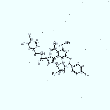 CC(C)Cc1nc(CCc2ccc(F)cc2)c(-c2nnc(C(F)(F)F)o2)c(-c2ccc(C(=O)NCc3ccc(F)c(F)c3)s2)c1C(N)=O